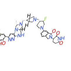 C[C@H]1CN2c3cc(-c4cc(F)cc(F)c4O)nnc3NC[C@H]2CN1C[C@@H]1[C@@H]2CN(C[C@H]3CCN(c4ccc5c(c4)C(=O)N(C4CCC(=O)NC4=O)C5)C[C@@H]3F)C[C@@H]21